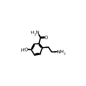 NCCc1ccc(O)cc1C(N)=O